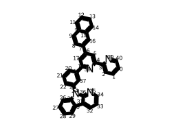 c1ccc(-c2cc(-c3ccc4ccccc4c3)cc(-c3cccc(-n4c5ccccc5c5cccnc54)c3)n2)nc1